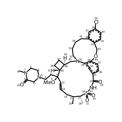 CO[C@]1(CCN2CCN(C)C(=O)C2)/C=C/C[C@H](C)[C@@H](C)S(=O)(=O)NC(=O)c2ccc3c(c2)N(CCCCc2cc(Cl)ccc2CO3)C[C@@H]2CC[C@H]21